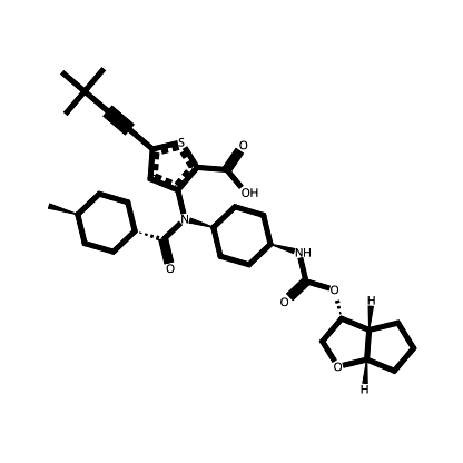 CC(C)(C)C#Cc1cc(N(C(=O)[C@H]2CC[C@H](C)CC2)[C@H]2CC[C@@H](NC(=O)O[C@H]3CO[C@H]4CCC[C@H]43)CC2)c(C(=O)O)s1